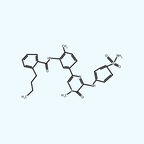 CCCCc1ccccc1C(=O)Nc1cc(-c2cn(C)c(=O)c(Nc3ccc(S(N)(=O)=O)cc3)n2)ccc1C